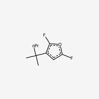 CCCC(C)(C)c1cc(F)oc1F